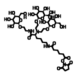 O=C(CCCCC(=O)ON1C(=O)CCC1=O)NCCCC[C@@H](C(=O)NCCO[C@H]1O[C@H](CO)[C@@H](O)[C@H](O)[C@@H]1O)N(CCO[C@H]1O[C@H](CO)[C@@H](O)[C@H](O)[C@@H]1O)CCO[C@H]1O[C@H](CO)[C@@H](O)[C@H](O)[C@@H]1O